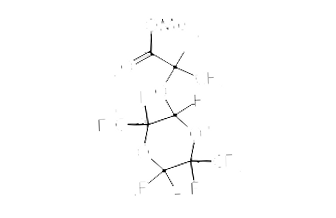 COC(=O)C(F)(OC1(F)OC(F)(C(F)(F)F)C(F)(F)OC1(F)C(F)(F)F)C(F)(F)F